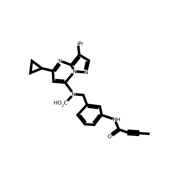 CC#CC(=O)Nc1cccc(CN(C(=O)O)c2cc(C3CC3)nc3c(C(C)C)cnn23)c1